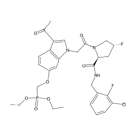 CCOP(=O)(COc1ccc2c(C(C)=O)cn(CC(=O)N3C[C@H](F)C[C@H]3C(=O)NCc3cccc(Cl)c3F)c2c1)OCC